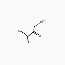 CC(Br)C(=O)CN